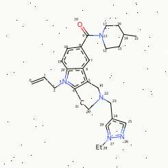 C=CCn1c2c(c3cc(C(=O)N4CCC(C)CC4)ccc31)CN(Cc1cnn(CC)c1)CC2